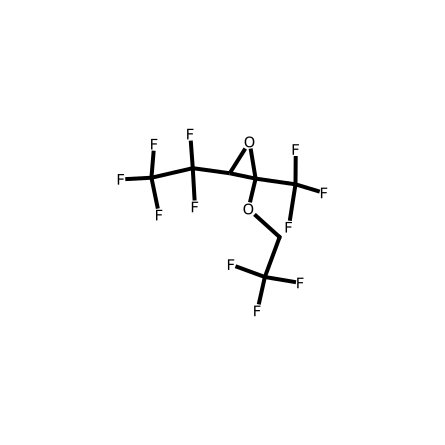 FC(F)(F)COC1(C(F)(F)F)OC1C(F)(F)C(F)(F)F